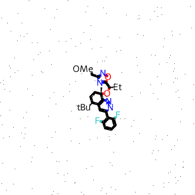 CC[C@@H](O[C@@]1(C)CC[C@H](C(C)(C)C)c2cc(-c3c(F)cccc3F)nnc21)c1nc(COC)no1